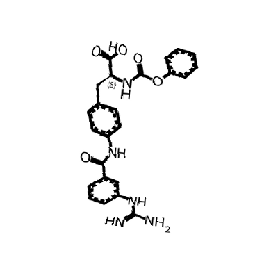 N=C(N)Nc1cccc(C(=O)Nc2ccc(C[C@H](NC(=O)Oc3ccccc3)C(=O)O)cc2)c1